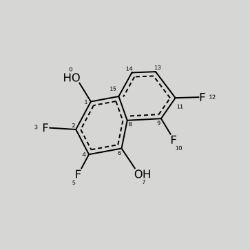 Oc1c(F)c(F)c(O)c2c(F)c(F)ccc12